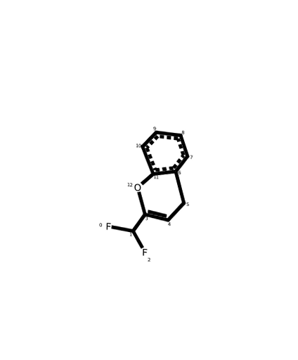 FC(F)C1=CCc2ccccc2O1